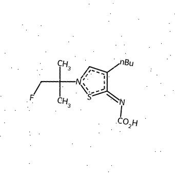 CCCCc1cn(C(C)(C)CF)sc1=NC(=O)O